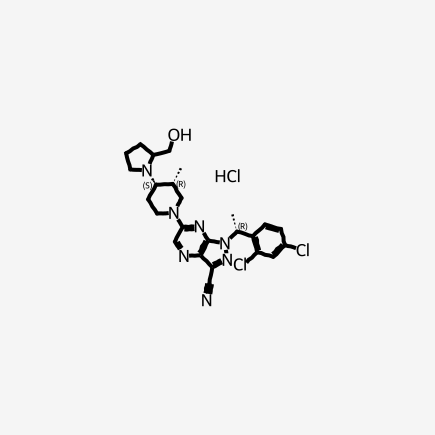 C[C@@H]1CN(c2cnc3c(C#N)nn([C@H](C)c4ccc(Cl)cc4Cl)c3n2)CC[C@@H]1N1CCCC1CO.Cl